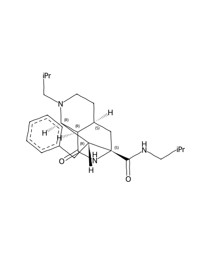 CC(C)CNC(=O)[C@@]12C[C@@H]3CCN(CC(C)C)[C@@H]([C@@H]3C(=O)N1)[C@H]2Cc1ccccc1